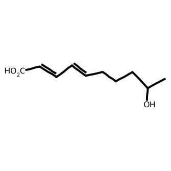 CC(O)CCCC=CC=CC(=O)O